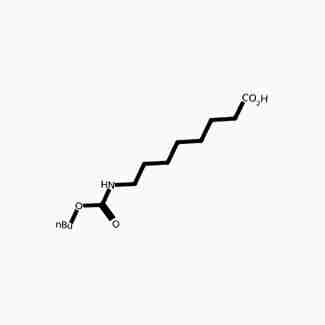 CCCCOC(=O)NCCCCCCCC(=O)O